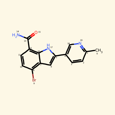 Cc1ccc(-c2cc3c(Br)ccc(C(N)=O)c3[nH]2)cn1